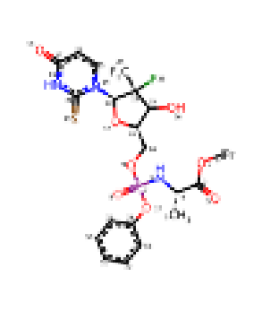 CC(C)OC(=O)[C@H](C)NP(=O)(OC[C@H]1O[C@@H](n2ccc(=O)[nH]c2=S)[C@@](F)(C(F)(F)F)C1O)Oc1ccccc1